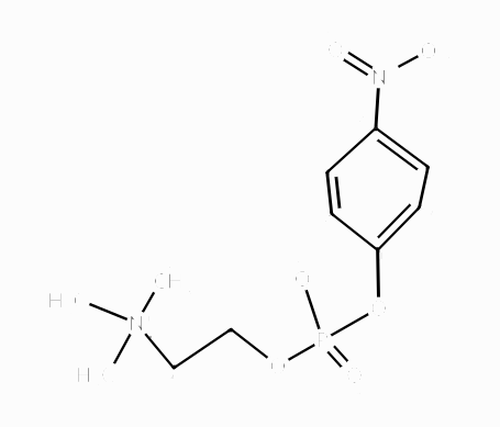 C[N+](C)(C)CCOP(=O)([O-])Oc1ccc([N+](=O)[O-])cc1